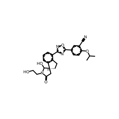 CC(C)Oc1ccc(-c2nc(-c3cccc4c3CC[C@@]43CC(=O)N(CCO)C3O)no2)cc1C#N